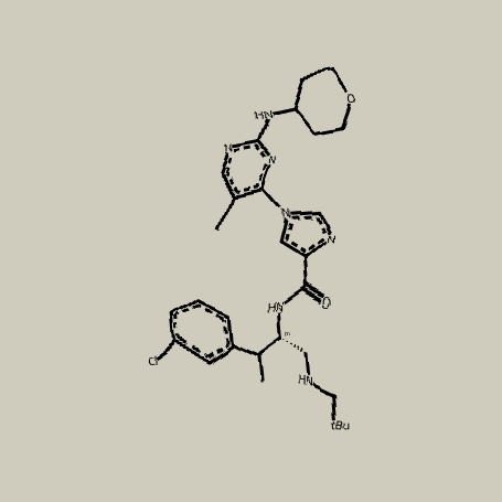 Cc1cnc(NC2CCOCC2)nc1-n1cnc(C(=O)N[C@H](CNCC(C)(C)C)C(C)c2cccc(Cl)c2)c1